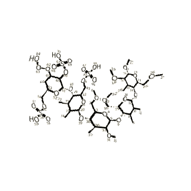 COCC1O[C@@H](O[C@H]2C(C)C(C)[C@@H](O[C@H]3C(C)C(OC)[C@H](OC)O[C@H]3COC)O[C@H]2COC)C(OC)[C@@H](C)[C@@H]1O[C@@H]1OC(COS(=O)(=O)O)[C@@H](O[C@@H]2O[C@@H](COS(=O)(=O)O)CC(OOO)C2OS(=O)(=O)O)[C@H](C)C1C